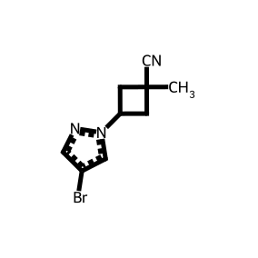 CC1(C#N)CC(n2cc(Br)cn2)C1